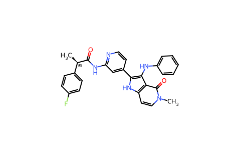 C[C@@H](C(=O)Nc1cc(-c2[nH]c3ccn(C)c(=O)c3c2Nc2ccccc2)ccn1)c1ccc(F)cc1